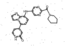 O=C(c1ncc(Nc2ccc(-c3cc[nH]c(=O)c3)n3ccnc23)cn1)N1CCCCC1